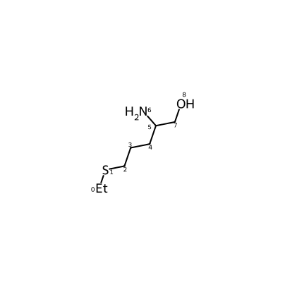 CCSCCCC(N)CO